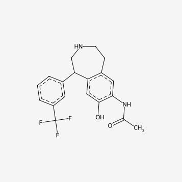 CC(=O)Nc1cc2c(cc1O)C(c1cccc(C(F)(F)F)c1)CNCC2